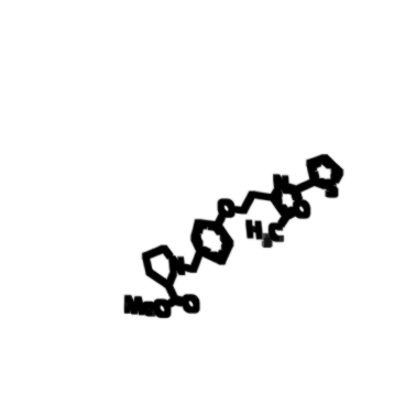 COC(=O)C1CCCN1Cc1ccc(OCCc2nc(-c3cccs3)oc2C)cc1